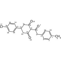 Cc1ccc(CC(=O)C2C(=O)CC(c3ccc(Cl)cc3)CC2=O)cc1